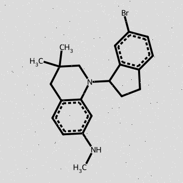 CNc1ccc2c(c1)N(C1CCc3ccc(Br)cc31)CC(C)(C)C2